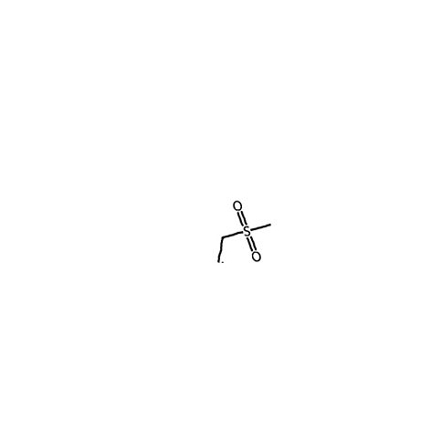 [CH2]CS(C)(=O)=O